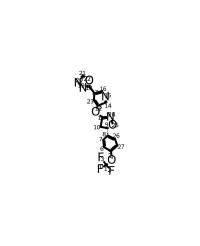 FC(F)(F)Oc1ccc([C@@H]2CC(Oc3cncc(-c4nnco4)c3)=NO2)cc1